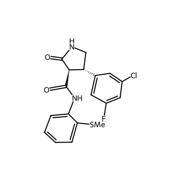 CSc1ccccc1NC(=O)[C@H]1C(=O)NC[C@@H]1c1cc(F)cc(Cl)c1